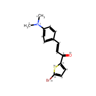 CN(C)c1ccc(C=CC(=O)c2ccc(Br)s2)cc1